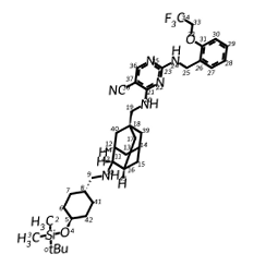 CC(C)(C)[Si](C)(C)O[C@H]1CC[C@H](CN[C@@H]2[C@@H]3CC4C[C@H]2C[C@@](CNc2nc(NCc5ccccc5OCC(F)(F)F)ncc2C#N)(C4)C3)CC1